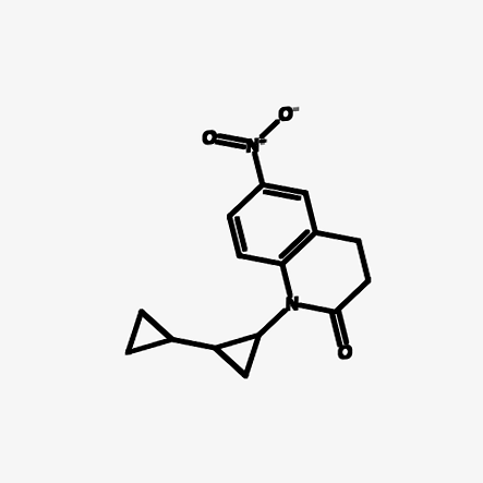 O=C1CCc2cc([N+](=O)[O-])ccc2N1C1CC1C1CC1